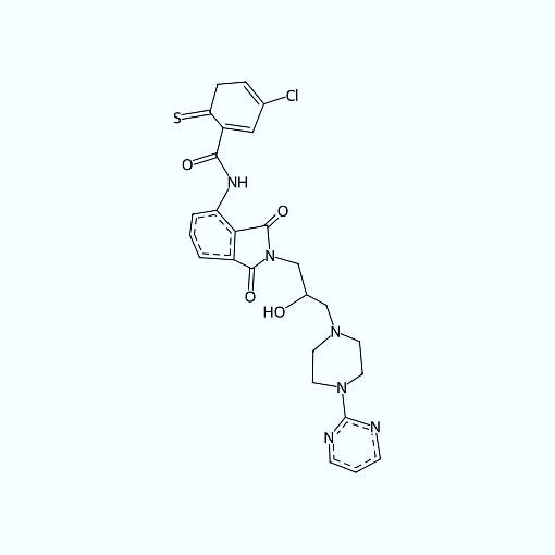 O=C(Nc1cccc2c1C(=O)N(CC(O)CN1CCN(c3ncccn3)CC1)C2=O)C1=CC(Cl)=CCC1=S